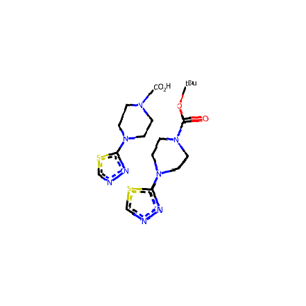 CC(C)(C)OC(=O)N1CCN(c2nncs2)CC1.O=C(O)N1CCN(c2nncs2)CC1